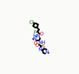 CN1CCc2nc(C(=O)NC(CNC(=O)/C(F)=C/c3ccc(Cl)cc3)C(=O)N(C)C)sc2C1